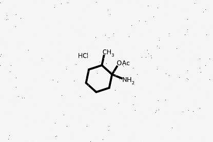 CC(=O)OC1(N)CCCCC1C.Cl